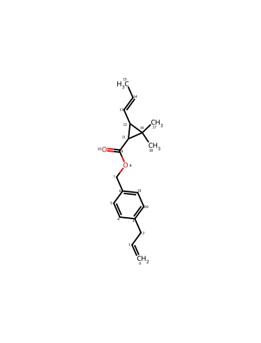 C=CCc1ccc(COC(=O)C2C(/C=C/C)C2(C)C)cc1